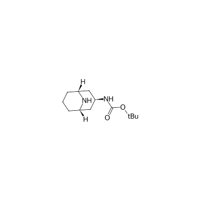 CC(C)(C)OC(=O)N[C@@H]1C[C@H]2CCC[C@@H](C1)N2